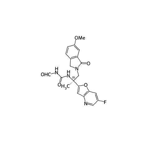 COc1ccc2c(c1)C(=O)N(C[C@](C)(NC(=O)NC=O)c1cc3ncc(F)cc3o1)C2